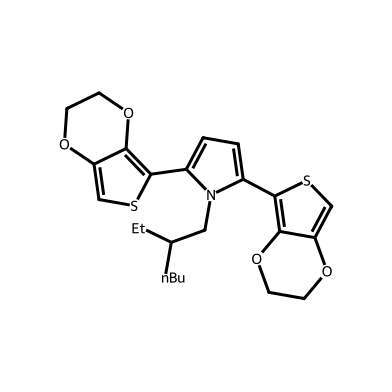 CCCCC(CC)Cn1c(-c2scc3c2OCCO3)ccc1-c1scc2c1OCCO2